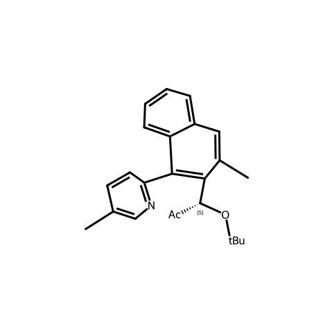 CC(=O)[C@@H](OC(C)(C)C)c1c(C)cc2ccccc2c1-c1ccc(C)cn1